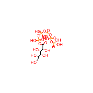 O=C(OP(=O)(O)OP(=O)(O)OP(=O)(O)OP(=O)(O)OP(=O)(O)O)[C@H](O)[C@@H](O)[C@H](O)[C@H](O)CO